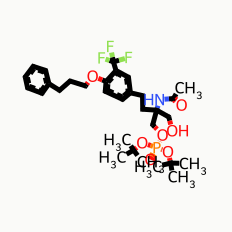 CC(=O)NC(CO)(CCc1ccc(OCCCc2ccccc2)c(C(F)(F)F)c1)COP(=O)(OC(C)(C)C)OC(C)(C)C